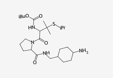 CC(C)COC(=O)NC(C(=O)N1CCCC1C(=O)NCC1CCC(N)CC1)C(C)(C)SC(C)C